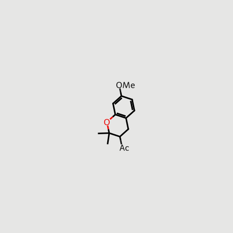 COc1ccc2c(c1)OC(C)(C)C(C(C)=O)C2